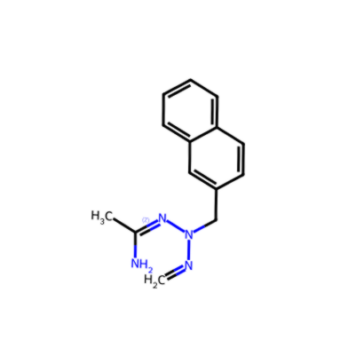 C=NN(Cc1ccc2ccccc2c1)/N=C(/C)N